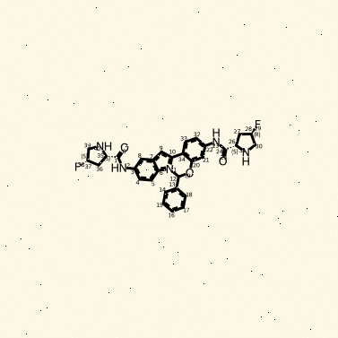 O=C(Nc1ccc2c(c1)cc1n2C(c2ccccc2)Oc2cc(NC(=O)[C@@H]3C[C@@H](F)CN3)ccc2-1)[C@@H]1C[C@H](F)CN1